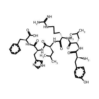 CC(C)C[C@H](NC(=O)[C@H](CCCNC(=N)N)NC(=O)[C@H](CC(C)C)NC(=O)[C@@H](N)Cc1ccc(O)cc1)C(=O)N[C@@H](Cc1c[nH]cn1)C(=O)N[C@@H](Cc1ccccc1)C(=O)O